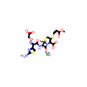 COC(=O)/C=C\SC1=C(C(=O)[O-])N2C(=O)[C@@H](NC(=O)/C(=N\OCC(=O)[O-])c3csc(N)n3)[C@@H]2SC1.[Na+].[Na+]